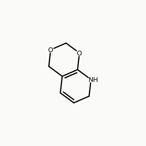 C1=CC2=C(NC1)OCOC2